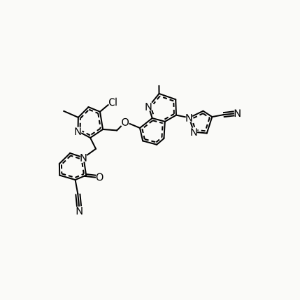 Cc1cc(Cl)c(COc2cccc3c(-n4cc(C#N)cn4)cc(C)nc23)c(Cn2cccc(C#N)c2=O)n1